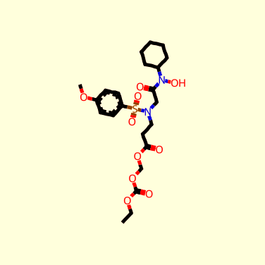 CCOC(=O)OCOC(=O)CCN(CC(=O)N(O)C1CCCCC1)S(=O)(=O)c1ccc(OC)cc1